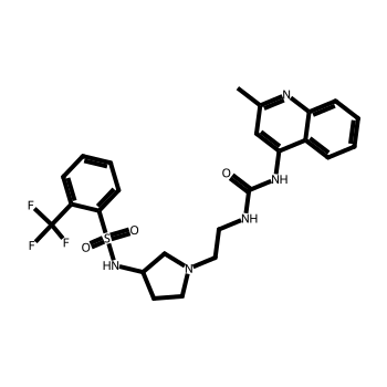 Cc1cc(NC(=O)NCCN2CCC(NS(=O)(=O)c3ccccc3C(F)(F)F)C2)c2ccccc2n1